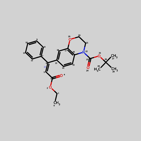 CCOC(=O)/C=C(/c1ccccc1)c1ccc2c(c1)OCCN2C(=O)OC(C)(C)C